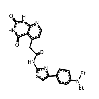 CCN(CC)c1ccc(-c2csc(NC(=O)Cc3ccnc4[nH]c(=O)[nH]c(=O)c34)n2)cc1